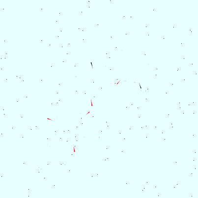 CN[C@H]1[C@@H](O[C@@H]2[C@@H](O[C@@H]3C[C@H](O)[C@@H](N=C(N)N)[C@H](O)[C@H]3O)O[C@H](C)[C@]2(C=O)N=O)O[C@H](CO)C[C@@H]1O